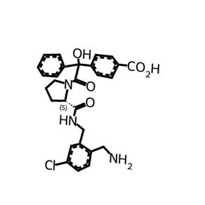 NCc1ccc(Cl)cc1CNC(=O)[C@@H]1CCCN1C(=O)C(O)(c1ccccc1)c1ccc(C(=O)O)cc1